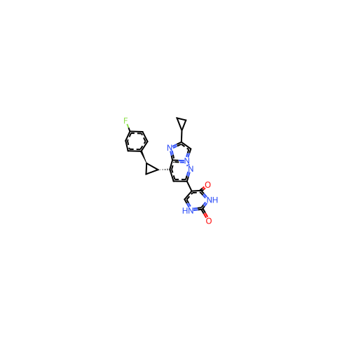 O=c1[nH]cc(-c2cc([C@@H]3C[C@H]3c3ccc(F)cc3)c3nc(C4CC4)cn3n2)c(=O)[nH]1